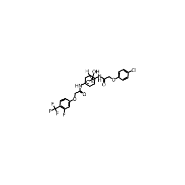 O=C(COc1ccc(C(F)(F)F)c(F)c1)NC12CCC(NC(=O)COc3ccc(Cl)cc3)(CC1)[C@@H](O)C2